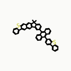 CC1(C)c2ccc(-c3c4ccccc4c(-c4ccc5c(c4)sc4ccccc45)c4ccccc34)cc2-c2cc3cc4c(cc3cc21)sc1ccccc14